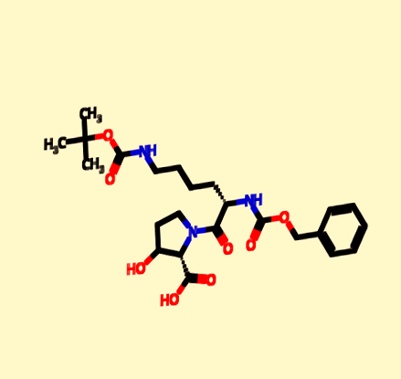 CC(C)(C)OC(=O)NCCCC[C@H](NC(=O)OCc1ccccc1)C(=O)N1CCC(O)[C@H]1C(=O)O